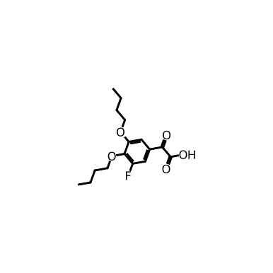 CCCCOc1cc(C(=O)C(=O)O)cc(F)c1OCCCC